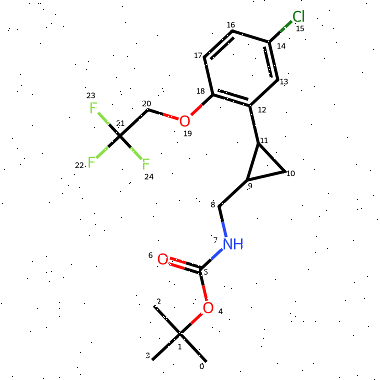 CC(C)(C)OC(=O)NCC1CC1c1cc(Cl)ccc1OCC(F)(F)F